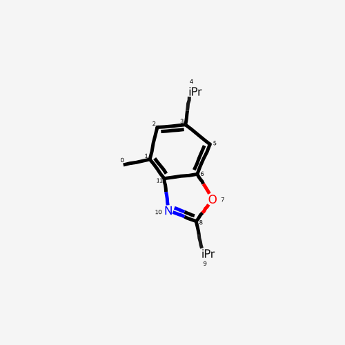 Cc1cc(C(C)C)cc2oc(C(C)C)nc12